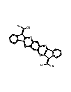 N#CC(C#N)=C1c2ccccc2-c2nc3cc4nc5c(nc4cc3nc21)-c1ccccc1C5=C(C#N)C#N